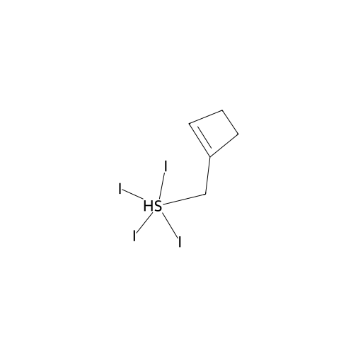 I[SH](I)(I)(I)CC1=CCC1